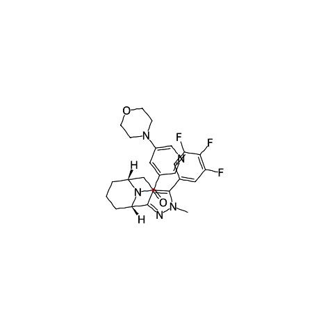 Cn1nc2c(c1-c1cc(F)c(F)c(F)c1)C[C@H]1CCC[C@@H]2N1C(=O)c1cncc(N2CCOCC2)c1